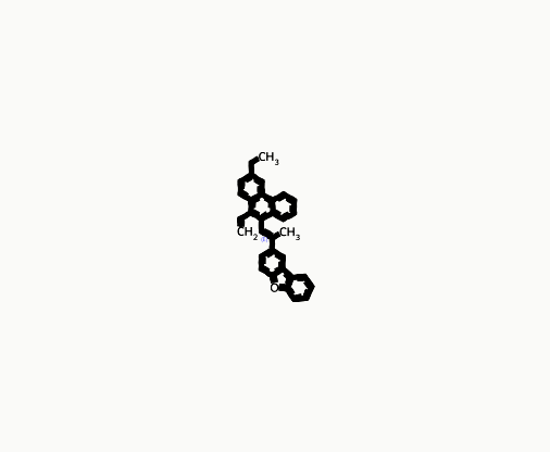 C=Cc1c(/C=C(\C)c2ccc3oc4ccccc4c3c2)c2ccccc2c2cc(CC)ccc12